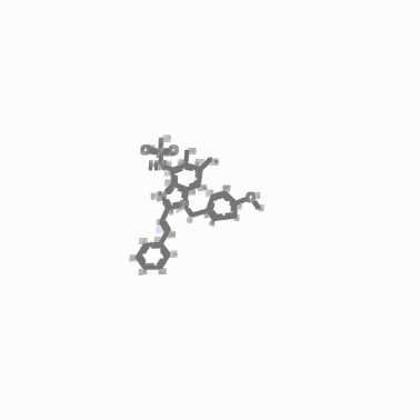 COc1ccc(Cn2c(/C=C/c3ccccc3)nc3c(NS(C)(=O)=O)c(C)c(C)cc32)cc1